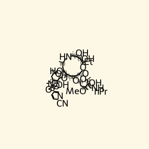 CCCNC[C@]1(O)[C@H](C)O[C@@H](O[C@H]2[C@H](C)[C@@H](O[C@@H]3O[C@H](C)C[C@H](N(C)S(=O)(=O)c4ccc(C#N)nc4)[C@H]3O)[C@](C)(O)C[C@@H](C)CN[C@H](C)[C@@H](O)[C@](C)(O)[C@@H](CC)OC(=O)[C@@H]2C)C[C@@]1(C)OC